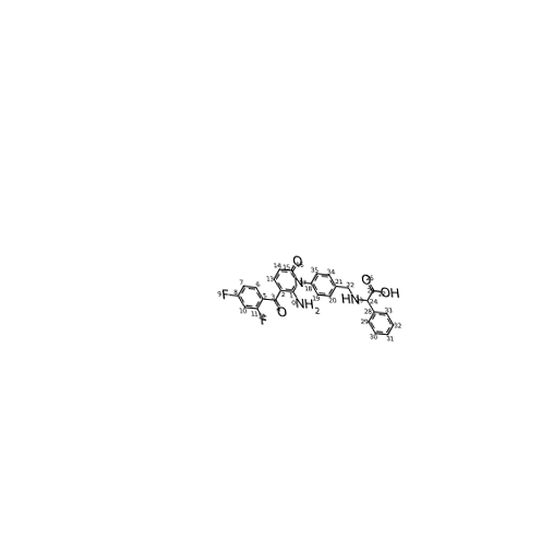 Nc1c(C(=O)c2ccc(F)cc2F)ccc(=O)n1-c1ccc(CNC(C(=O)O)c2ccccc2)cc1